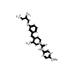 COc1cnc(NC(=O)N2CCC(=Cc3cccc(OCC(C)CC(F)(F)F)c3)C(C)C2)cn1